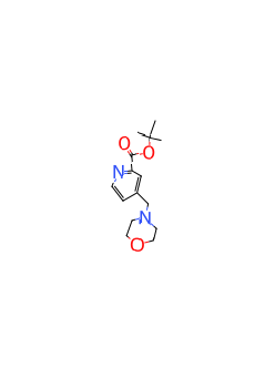 CC(C)(C)OC(=O)c1cc(CN2CCOCC2)ccn1